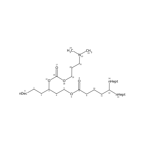 CCCCCCCCCCCCC(CCOC(=O)CCCC(CCCCCCC)CCCCCCC)OC(=O)OCCCN(C)C